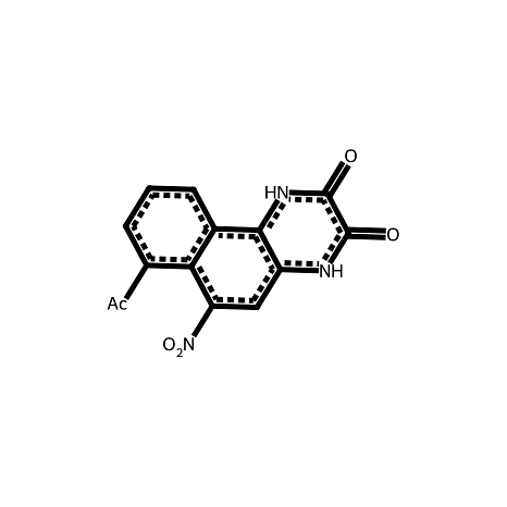 CC(=O)c1cccc2c1c([N+](=O)[O-])cc1[nH]c(=O)c(=O)[nH]c12